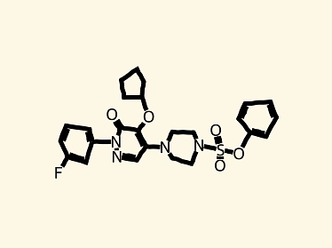 O=c1c(OC2CCCC2)c(N2CCN(S(=O)(=O)Oc3ccccc3)CC2)cnn1-c1cccc(F)c1